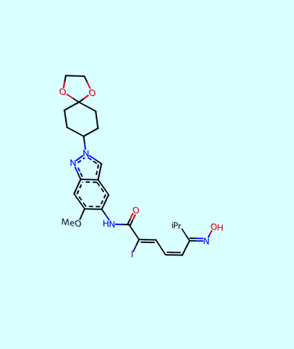 COc1cc2nn(C3CCC4(CC3)OCCO4)cc2cc1NC(=O)/C(I)=C/C=C\C(=N\O)C(C)C